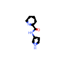 O=C(Nc1cc[nH]c1)c1ccccn1